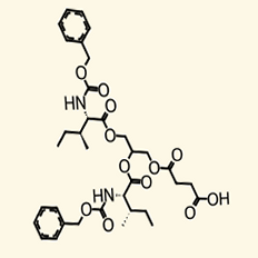 CC[C@H](C)[C@H](NC(=O)OCc1ccccc1)C(=O)OCC(COC(=O)CCC(=O)O)OC(=O)[C@@H](NC(=O)OCc1ccccc1)[C@@H](C)CC